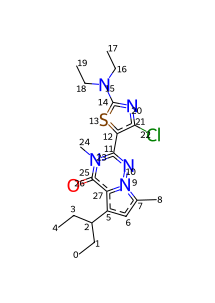 CCC(CC)c1cc(C)n2nc(-c3sc(N(CC)CC)nc3Cl)n(C)c(=O)c12